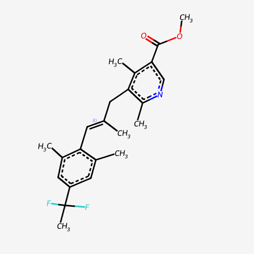 COC(=O)c1cnc(C)c(C/C(C)=C/c2c(C)cc(C(C)(F)F)cc2C)c1C